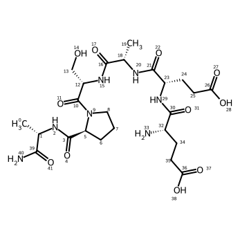 C[C@H](NC(=O)[C@@H]1CCCN1C(=O)[C@H](CO)NC(=O)[C@H](C)NC(=O)[C@H](CCC(=O)O)NC(=O)[C@@H](N)CCC(=O)O)C(N)=O